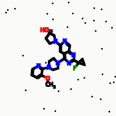 COc1cccnc1N1CCN(c2nc(C3(F)CC3)nc3cnc(N4CC[C@H](O)C4)cc23)CC1